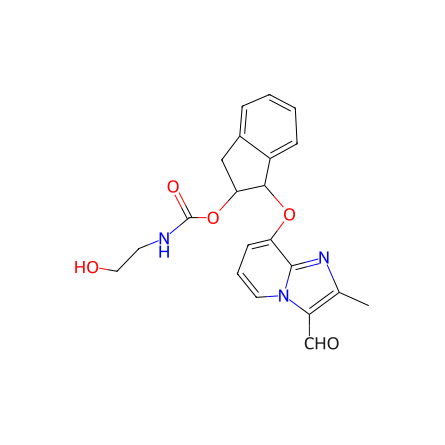 Cc1nc2c(OC3c4ccccc4CC3OC(=O)NCCO)cccn2c1C=O